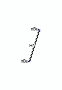 CCCC/C=C\CCCCCCCCNCCCCCCCC/C=C\CCCC